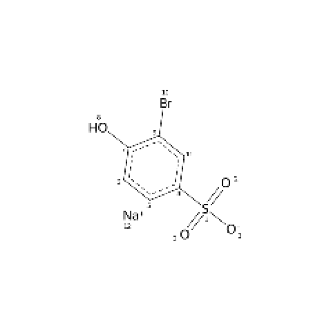 O=S(=O)([O-])c1ccc(O)c(Br)c1.[Na+]